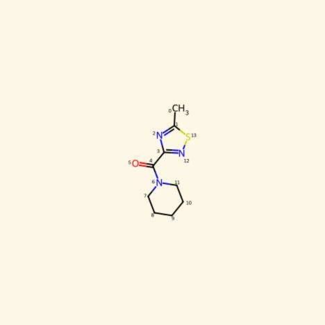 Cc1nc(C(=O)N2CCCCC2)ns1